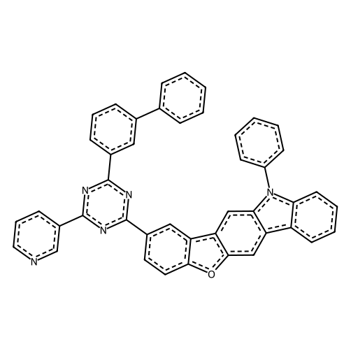 c1ccc(-c2cccc(-c3nc(-c4cccnc4)nc(-c4ccc5oc6cc7c8ccccc8n(-c8ccccc8)c7cc6c5c4)n3)c2)cc1